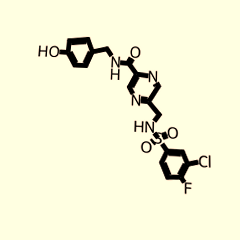 O=C(NCc1ccc(O)cc1)c1cnc(CNS(=O)(=O)c2ccc(F)c(Cl)c2)cn1